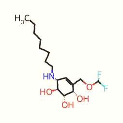 CCCCCCCCN[C@@H]1C=C(COC(F)F)[C@H](O)[C@H](O)[C@H]1O